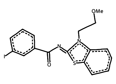 COCCn1/c(=N/C(=O)c2cccc(I)c2)sc2ccccc21